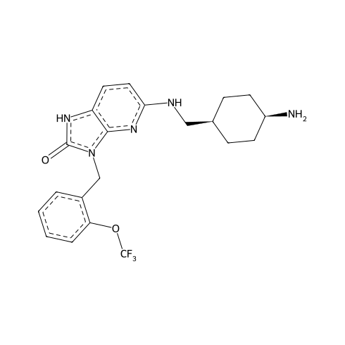 N[C@H]1CC[C@@H](CNc2ccc3[nH]c(=O)n(Cc4ccccc4OC(F)(F)F)c3n2)CC1